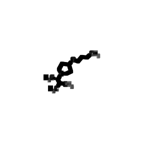 CCCCOC1CCN([C@@H](C)C(C)C)CC1